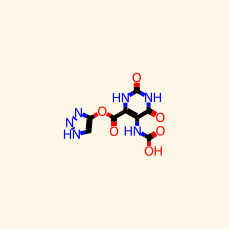 O=C(O)Nc1c(C(=O)Oc2c[nH]nn2)[nH]c(=O)[nH]c1=O